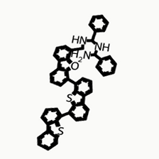 NC(NC(NCc1cccc2c1oc1c(-c3cccc4c3sc3c(-c5cccc6c5sc5ccccc56)cccc34)cccc12)c1ccccc1)c1ccccc1